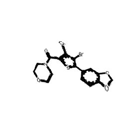 [O]c1c(C(=O)N2CCOCC2)sc(-c2ccc3c(c2)OCO3)c1Br